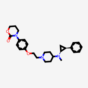 CN(C1CCN(CCOc2ccc(N3CCCOC3=O)cc2)CC1)[C@@H]1C[C@H]1c1ccccc1